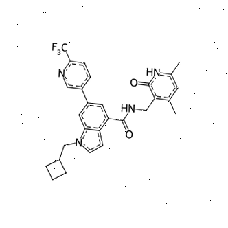 Cc1cc(C)c(CNC(=O)c2cc(-c3ccc(C(F)(F)F)nc3)cc3c2ccn3CC2CCC2)c(=O)[nH]1